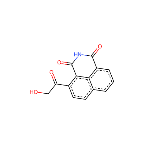 O=C(CO)c1ccc2cccc3c2c1C(=O)NC3=O